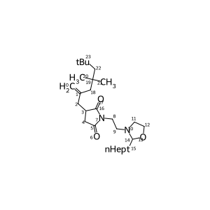 C=C(CC1CC(=O)N(CCN2CCOC2CCCCCCC)C1=O)CC(C)(C)CC(C)(C)C